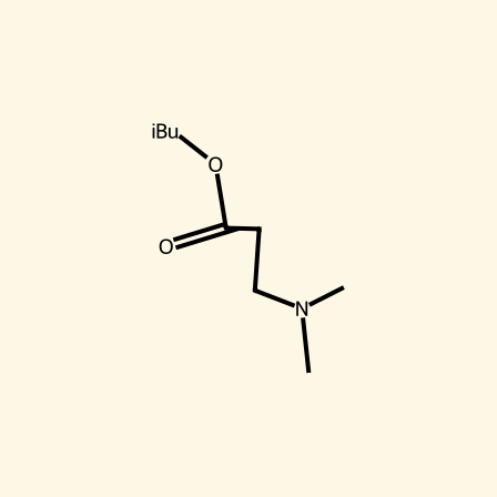 CCC(C)OC(=O)CCN(C)C